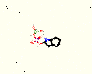 O=P(O)(Oc1cc2ccccc2[nH]1)O[Cl+2]([O-])[O-]